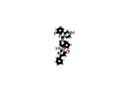 O=C(N1CC[C@@](O)(Cn2cnc(-c3ccccc3)cc2=O)C2(CCCC2)C1)N1CCNC[C@H]1c1cccc(F)c1